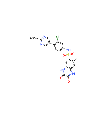 COc1ncc(-c2ccc(NS(=O)(=O)c3cc4[nH]c(=O)c(=O)[nH]c4cc3C)cc2Cl)cn1